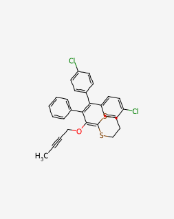 CC#CCOC(=C1SCCCS1)C(=C(c1ccc(Cl)cc1)c1ccc(Cl)cc1)c1ccccc1